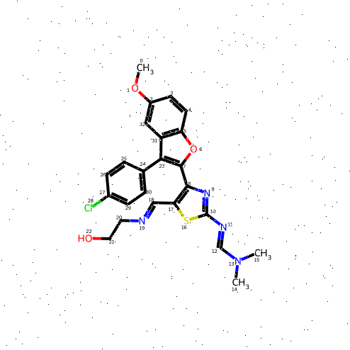 COc1ccc2oc(-c3nc(N=CN(C)C)sc3/C=N/CCO)c(-c3ccc(Cl)cc3)c2c1